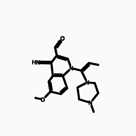 CC=C(N1CCN(C)CC1)n1cc(C=O)c(=N)c2cc(OC)ccc21